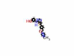 CN1CCN(C(=O)Cc2ccc(-c3cc4ncnc(Nc5cccc(O)c5)c4s3)cc2)CC1